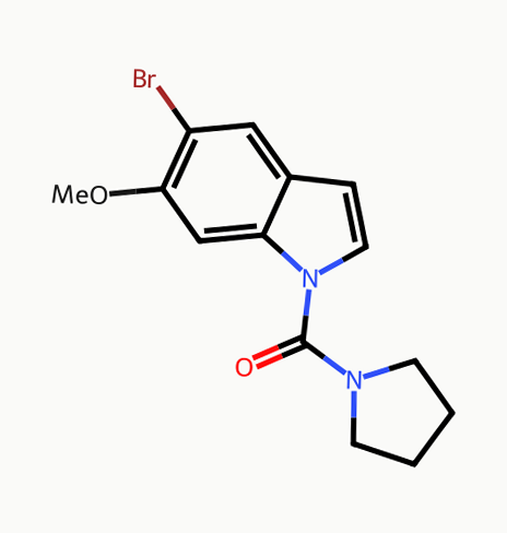 COc1cc2c(ccn2C(=O)N2CCCC2)cc1Br